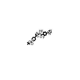 CC(C)(C)OC(=O)N1CCC(c2cnc(NC(=O)c3c(F)cc(-n4cncn4)cc3F)s2)CC1